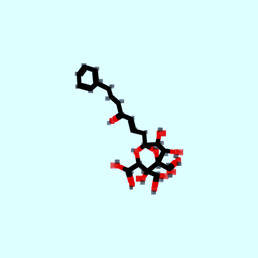 O=C(/C=C/CC12OC(C(=O)O)C(O)(C(=O)O)C(C(=O)O)(O1)C(O)C2O)CCCc1ccccc1